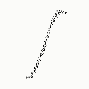 COSSSSSSSSSSSSSSSSSSSSSSSSSSSSSSSSSS